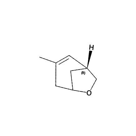 CC1=C[C@@H]2COC(C1)C2